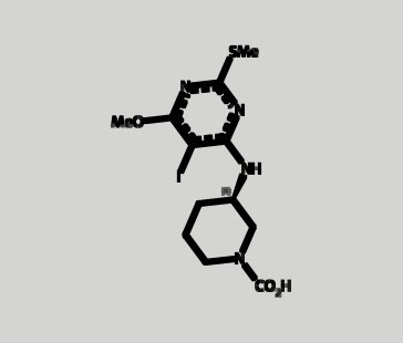 COc1nc(SC)nc(N[C@@H]2CCCN(C(=O)O)C2)c1I